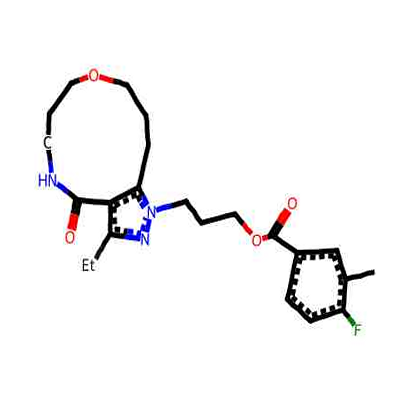 CCc1nn(CCCOC(=O)c2ccc(F)c(C)c2)c2c1C(=O)NCCCOCCC2